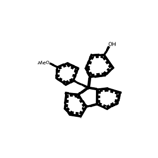 COc1ccc(C2(c3ccc(O)cc3)c3ccccc3-c3ccccc32)cc1